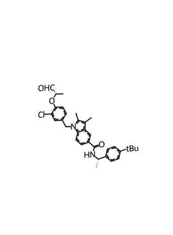 Cc1c(C)n(Cc2ccc(O[C@@H](C)C=O)c(Cl)c2)c2ccc(C(=O)N[C@@H](C)c3ccc(C(C)(C)C)cc3)cc12